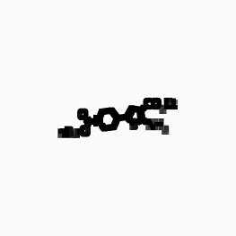 CCCCOC(=O)N1CCC(c2cc(C(=O)OCC)c(N)s2)CC1